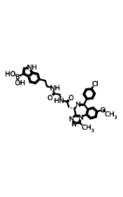 COc1ccc2c(c1)C(c1ccc(Cl)cc1)=N[C@@H](CC(=O)NCC(=O)NCCc1ccc3c(B(O)O)c[nH]c3c1)c1nnc(C)n1-2